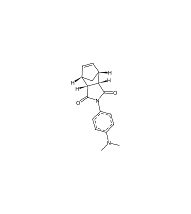 CN(C)c1ccc(N2C(=O)[C@@H]3[C@H](C2=O)[C@@H]2C=C[C@H]3C2)cc1